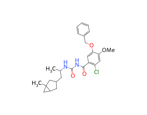 COc1cc(Cl)c(C(=O)NC(=O)NC(C)CC2CC3CC3(C)C2)cc1OCc1ccccc1